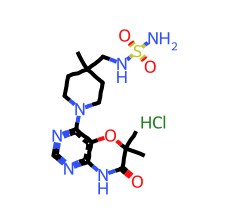 CC1(CNS(N)(=O)=O)CCN(c2ncnc3c2OC(C)(C)C(=O)N3)CC1.Cl